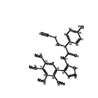 C#CCOC(C(=O)Nc1oncc1-c1cc(OC)c(OC)c(OC)c1OC)c1ccc(Cl)cc1